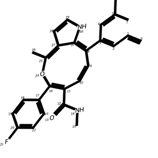 C=C/C=C(\C=C(C)C)c1ccc(C(=O)NC)c(-c2ccc(F)cc2)oc(C)c2cc[nH]c12